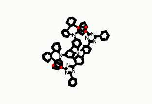 c1ccc(-c2nc(-c3ccccc3)nc(-c3ccc4c(c3)[Si]3(c5ccc(N6c7ccccc7-c7ccccc7-c7ccccc76)cc5-c5cc(N6c7ccccc7-c7ccccc7-c7ccccc76)ccc53)c3cc(-c5nc(-c6ccccc6)nc(-c6ccccc6)n5)ccc3-4)n2)cc1